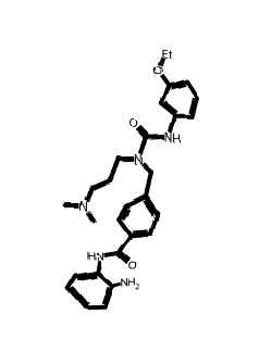 CCOc1cccc(NC(=O)N(CCCN(C)C)Cc2ccc(C(=O)Nc3ccccc3N)cc2)c1